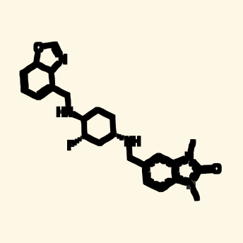 Cn1c(=O)n(C)c2cc(CN[C@H]3CC[C@H](NCC4=CC=CC5OC=NC45)[C@@H](F)C3)ccc21